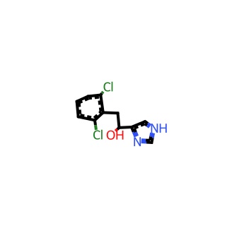 OC(Cc1c(Cl)cccc1Cl)c1c[nH]cn1